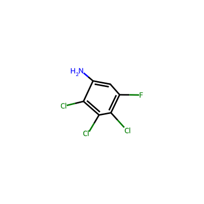 Nc1cc(F)c(Cl)c(Cl)c1Cl